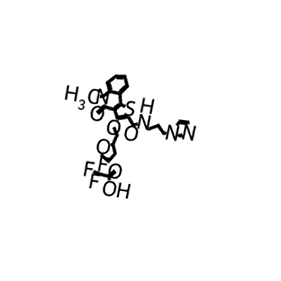 Cn1c(=O)c2c(OCC3CCCO3)c(C(=O)NCCCn3ccnc3)sc2c2ccccc21.O=C(O)C(F)(F)F